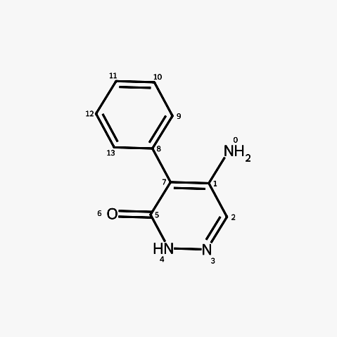 Nc1cn[nH]c(=O)c1-c1ccccc1